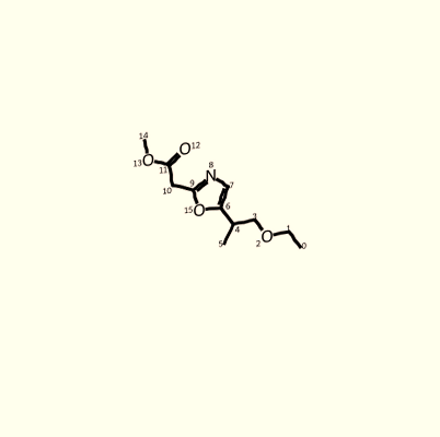 CCOCC(C)c1cnc(CC(=O)OC)o1